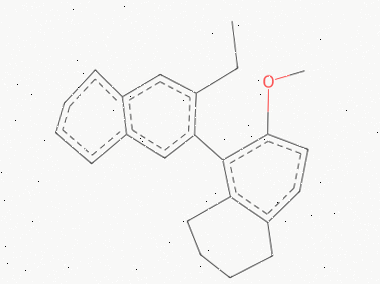 CCc1cc2ccccc2cc1-c1c(OC)ccc2c1CCCC2